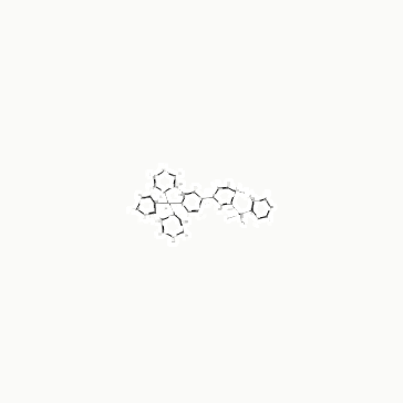 CC1(C)c2ccccc2Oc2ccc(-c3ccc4c(c3)-c3ccccc3C43c4ccccc4-c4ccccc43)cc21